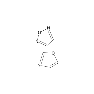 c1cnon1.c1cocn1